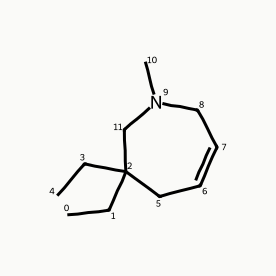 CCC1(CC)CC=CCN(C)C1